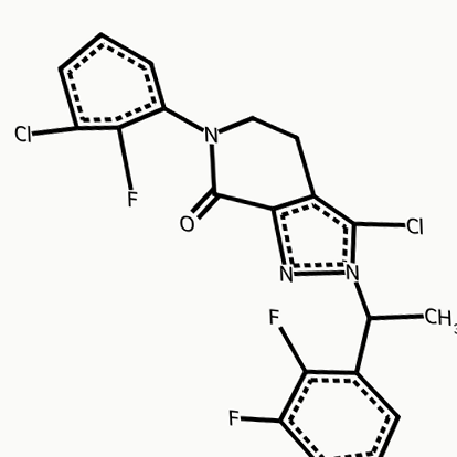 CC(c1cccc(F)c1F)n1nc2c(c1Cl)CCN(c1cccc(Cl)c1F)C2=O